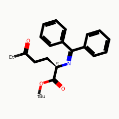 CCC(=O)CC[C@@H](N=C(c1ccccc1)c1ccccc1)C(=O)OC(C)(C)C